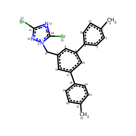 Cc1ccc(-c2cc(Cn3nc(Br)nc3Br)cc(-c3ccc(C)cc3)c2)cc1